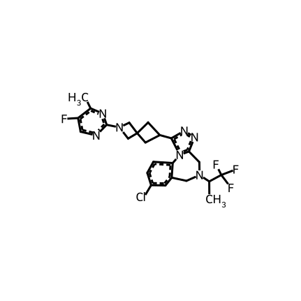 Cc1nc(N2CC3(CC(c4nnc5n4-c4ccc(Cl)cc4CN(C(C)C(F)(F)F)C5)C3)C2)ncc1F